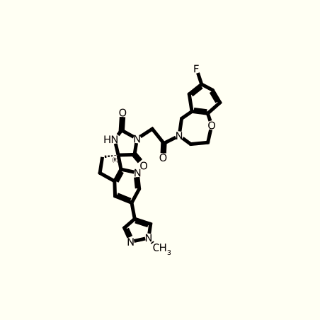 Cn1cc(-c2cnc3c(c2)CC[C@@]32NC(=O)N(CC(=O)N3CCOc4ccc(F)cc4C3)C2=O)cn1